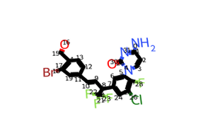 Nc1ccn(-c2cc(C(/C=C/c3ccc(C=O)c(Br)c3)C(F)(F)F)cc(Cl)c2F)c(=O)n1